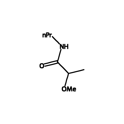 [CH2]CCNC(=O)C(C)OC